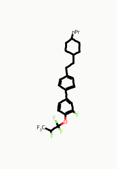 CCCC1CCC(CCc2ccc(-c3ccc(OC(F)(F)C(F)C(F)(F)F)c(F)c3)cc2)CC1